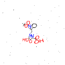 CC(C)(C)OC(=O)n1cc(CCn2cc(O)c(=O)c(C3OC3O)n2)c2ccccc21